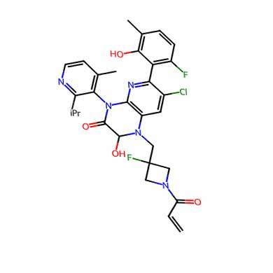 C=CC(=O)N1CC(F)(CN2c3cc(Cl)c(-c4c(F)ccc(C)c4O)nc3N(c3c(C)ccnc3C(C)C)C(=O)C2O)C1